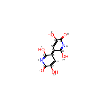 O=C1N=C(O)/C(=C2\C=C(O)C(=O)N=C2O)C=C1O